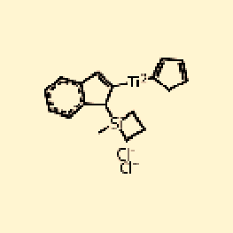 C[Si]1(C2[C]([Ti+2][C]3=CC=CC3)=Cc3ccccc32)CCC1.[Cl-].[Cl-]